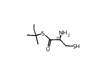 CC(C)(C)SC(=O)[C@@H](N)CS